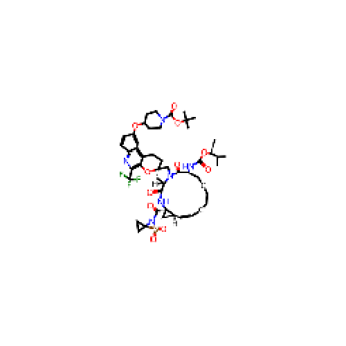 CC(C)[C@H](C)OC(=O)N[C@H]1CCCCC/C=C\[C@@H]2C[C@@]2(C(=O)N2C3(CC3)S2(=O)=O)NC(=O)[C@@H]2C[C@]3(CCc4c(c(C(F)(F)F)nc5ccc(OC6CCN(C(=O)OC(C)(C)C)CC6)cc45)O3)CN2C1=O